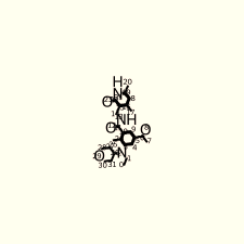 CCN(c1cc(C(C)=O)cc(C(=O)NCc2c(C)cc(C)[nH]c2=O)c1C)C1CCOCC1